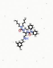 CCCCCN(CCCCC)C(=O)N1CCN(C(=O)N(c2ccccc2)c2ccccc2)[C@@H](CCNCCc2cc(C)cc(C)c2)C1